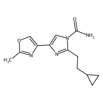 Cc1nc(-c2cn(C(N)=O)c(CCC3CC3)n2)co1